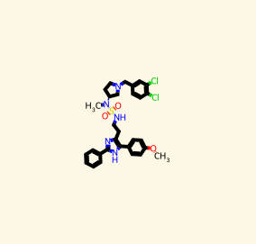 COc1ccc(-c2[nH]c(-c3ccccc3)nc2CCNS(=O)(=O)N(C)[C@@H]2CCN(Cc3ccc(Cl)c(Cl)c3)C2)cc1